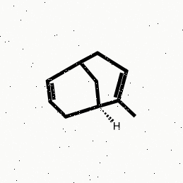 CC1=CCC2C=CC[C@H]1C2